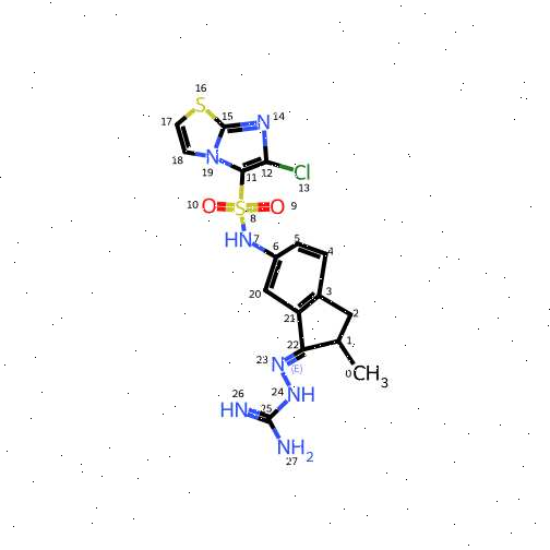 CC1Cc2ccc(NS(=O)(=O)c3c(Cl)nc4sccn34)cc2/C1=N/NC(=N)N